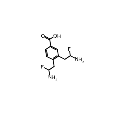 NC(F)Cc1ccc(C(=O)O)cc1CC(N)F